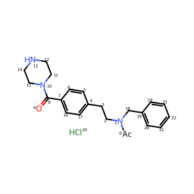 CC(=O)N(CCc1ccc(C(=O)N2CCNCC2)cc1)Cc1ccccc1.Cl